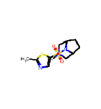 Cc1ncc(S(=O)(=O)N2C3CCC2CN(C(C)C)C3)s1